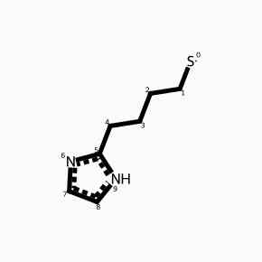 [S]CCCCc1ncc[nH]1